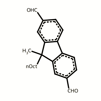 CCCCCCCCC1(C)c2cc(C=O)ccc2-c2ccc(C=O)cc21